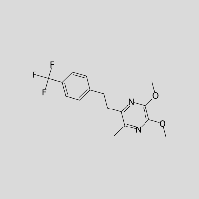 COc1nc(C)c(CCc2ccc(C(F)(F)F)cc2)nc1OC